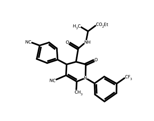 CCOC(=O)C(C)NC(=O)C1C(=O)N(c2cccc(C(F)(F)F)c2)C(C)=C(C#N)C1c1ccc(C#N)cc1